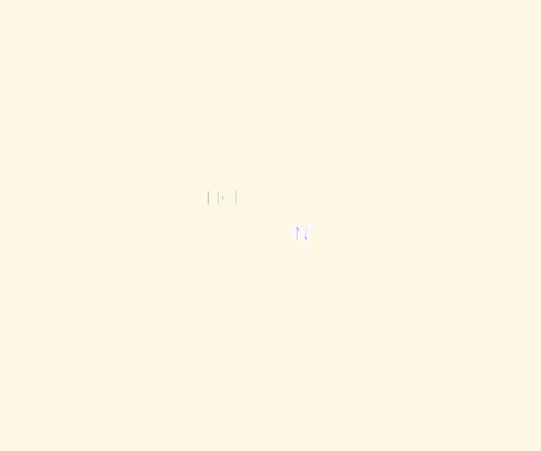 C=CCCN(CC=C)CC=C.Cl